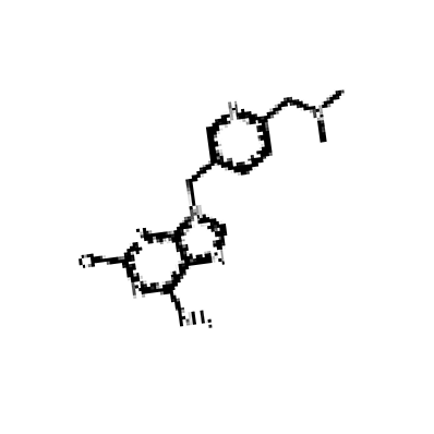 CN(C)Cc1ccc(Cn2cnc3c(N)nc(Cl)nc32)cn1